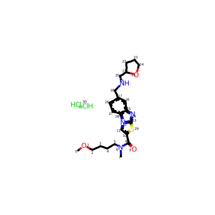 COCCCCN(C)C(=O)c1cn2c(nc3cc(CNCC4CCCO4)ccc32)s1.Cl.Cl